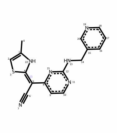 CC1=CS/C(=C(\C#N)c2ccnc(NCc3cccnc3)n2)N1